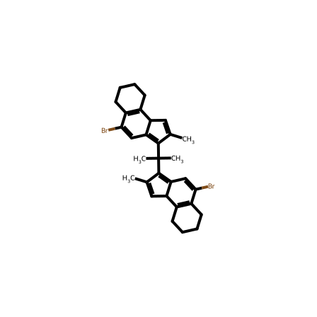 CC1=CC2C(=C1C(C)(C)C1=C3C=C(Br)C4=C(CCCC4)C3C=C1C)C=C(Br)C1=C2CCCC1